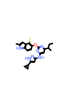 CCC(C)c1cc(Nc2cc(C3CC3)[nH]n2)nc(Oc2ccc3[nH]c(C)cc3c2F)n1